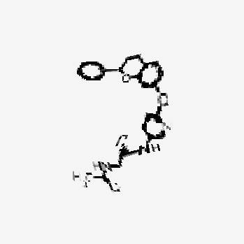 CC(=O)NCC(=O)Nc1ccc(Oc2ccc3c(c2)OC(c2ccccc2)CC3)nc1